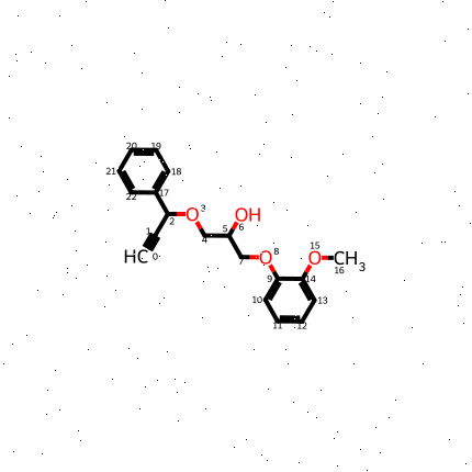 C#CC(OCC(O)COc1ccccc1OC)c1ccccc1